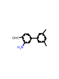 Cc1cc(C)cc(-c2ccc(C=O)c(N)c2)c1